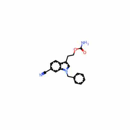 N#Cc1ccc2c(CCOC(N)=O)cn(Cc3ccccc3)c2c1